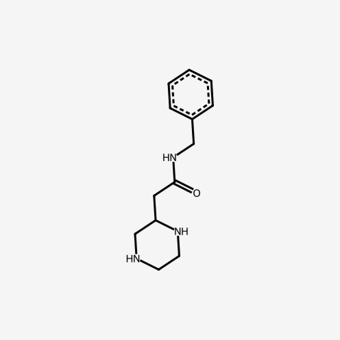 O=C(CC1CNCCN1)NCc1ccccc1